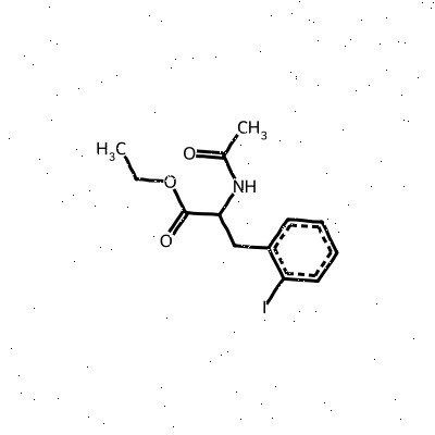 CCOC(=O)C(Cc1ccccc1I)NC(C)=O